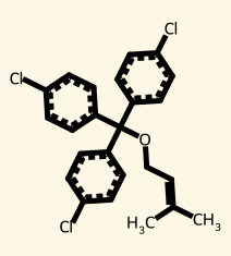 CC(C)=CCOC(c1ccc(Cl)cc1)(c1ccc(Cl)cc1)c1ccc(Cl)cc1